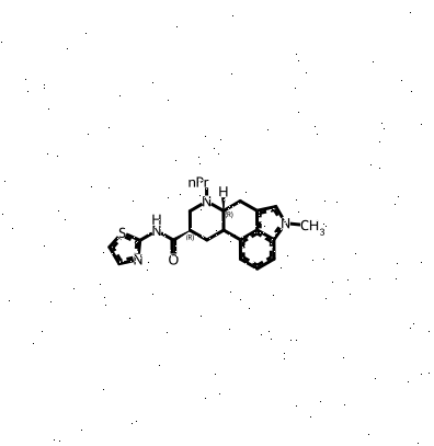 CCCN1C[C@H](C(=O)Nc2nccs2)CC2c3cccc4c3c(cn4C)C[C@H]21